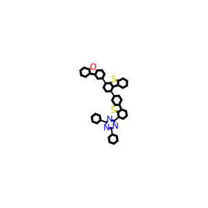 c1ccc(-c2nc(-c3ccccc3)nc(-c3cccc4c3sc3cc(-c5ccc(-c6ccc7oc8ccccc8c7c6)c6sc7ccccc7c56)ccc34)n2)cc1